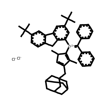 CC1=[C]([Zr+2](=[C](c2ccccc2)c2ccccc2)[c]2cc(C(C)(C)C)cc3c2Cc2ccc(C(C)(C)C)cc2-3)C(C)C=C1CC12CC3CC(CC(C3)C1)C2.[Cl-].[Cl-]